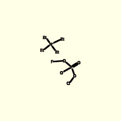 CC[N+](CC)(CC)CC.O=P([O-])(OF)OCl